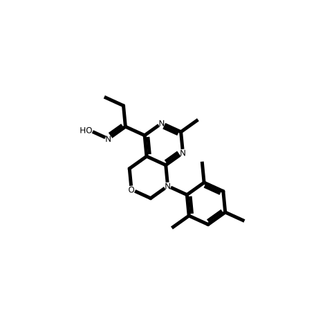 CCC(=NO)c1nc(C)nc2c1COCN2c1c(C)cc(C)cc1C